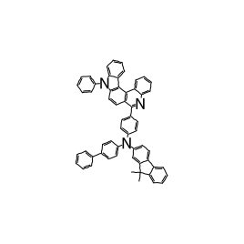 CC1(C)c2ccccc2-c2ccc(N(c3ccc(-c4ccccc4)cc3)c3ccc(-c4nc5ccccc5c5c4ccc4c5c5ccccc5n4-c4ccccc4)cc3)cc21